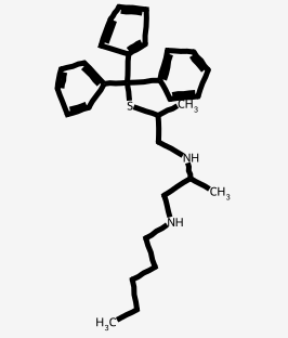 CCCCCNCC(C)NCC(C)SC(c1ccccc1)(c1ccccc1)c1ccccc1